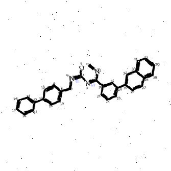 C=N/C(=N\C(Cl)=N/Cc1ccc(-c2ccccc2)cc1)c1cccc(-c2ccc3ccccc3c2)c1